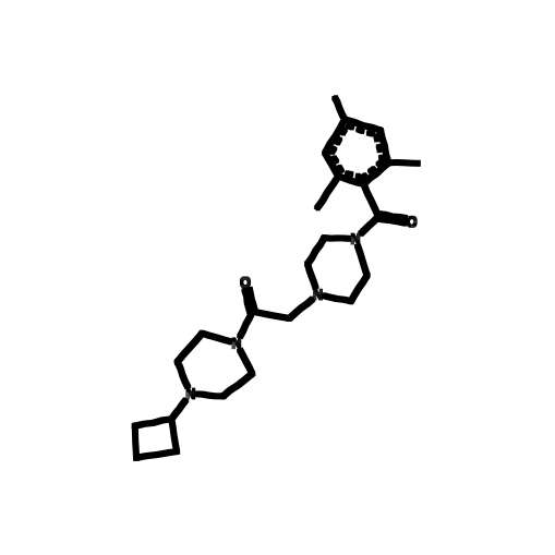 Cc1cc(C)c(C(=O)N2CCN(CC(=O)N3CCN(C4CCC4)CC3)CC2)c(C)c1